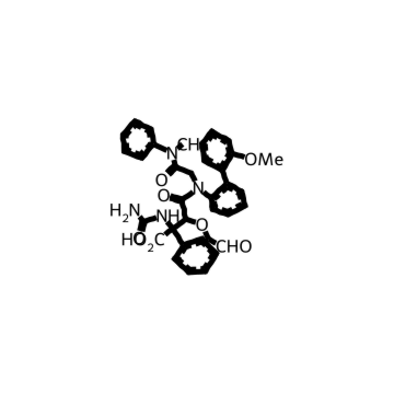 COc1ccccc1-c1ccccc1N(CC(=O)N(C)c1ccccc1)C(=O)C(OCC=O)C(NC(N)=O)(C(=O)O)c1ccccc1